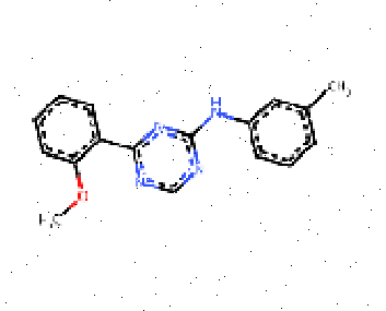 COc1ccccc1-c1ncnc(Nc2cccc(C)c2)n1